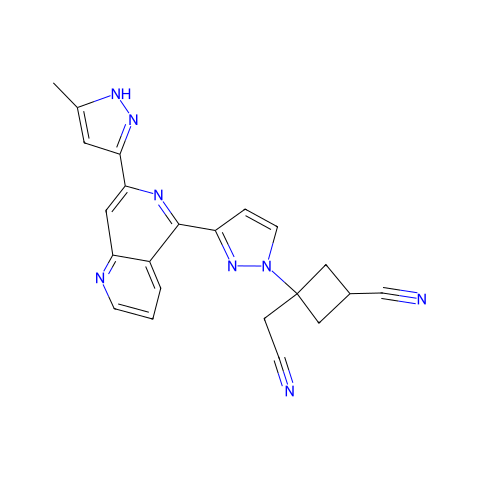 Cc1cc(-c2cc3ncccc3c(-c3ccn(C4(CC#N)CC(C#N)C4)n3)n2)n[nH]1